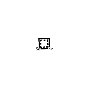 c1c[se][se]1